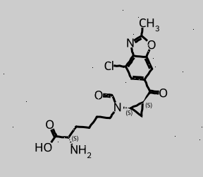 Cc1nc2c(Cl)cc(C(=O)[C@H]3C[C@@H]3N(C=O)CCCC[C@H](N)C(=O)O)cc2o1